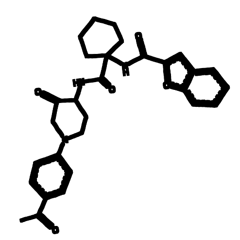 CC(=O)c1ccc(N2CCC(NC(=O)C3(NC(=O)c4cc5ccccc5o4)CCCCC3)C(=O)C2)cc1